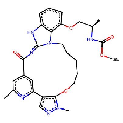 Cc1cc2cc(n1)-c1cnn(C)c1OCCCCCN1/C(=N/C2=O)Nc2cccc(OC[C@@H](C)NC(=O)OC(C)(C)C)c21